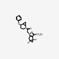 CCOC(=O)c1nn(CC(=O)N2CCC(Oc3ccccc3)C3CC32)c2c1[C@@H]1C[C@@H]1C2